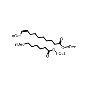 CCCCCCCC/C=C\CCCCCCCC(=O)OCCCCCCCCCC.CCCCCCCCCCCCCCCC(=O)OCCCCCCCC